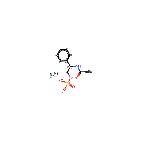 CCCCC(=O)N[C@@H](COP(=O)([O-])[O-])c1ccccc1.[Na+].[Na+]